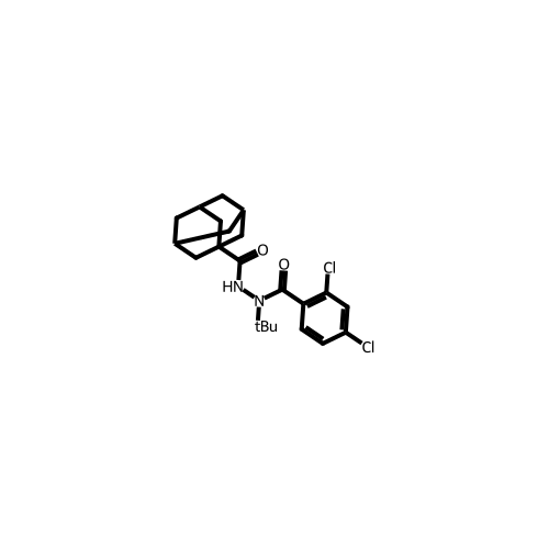 CC(C)(C)N(NC(=O)C12CC3CC(CC(C3)C1)C2)C(=O)c1ccc(Cl)cc1Cl